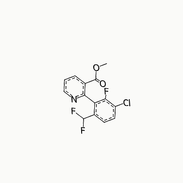 COC(=O)c1cccnc1-c1c(C(F)F)ccc(Cl)c1F